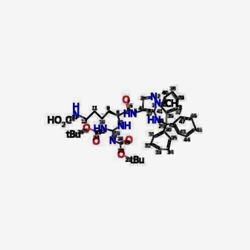 Cn1ncc(NC(=O)[C@H](CCCCNC(=O)O)N/C(=N\C(=O)OC(C)(C)C)NC(=O)OC(C)(C)C)c1NC(c1ccccc1)(c1ccccc1)c1ccccc1